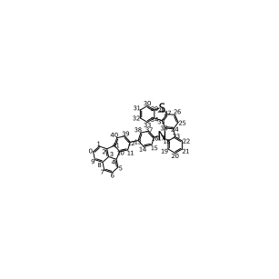 c1cc2c3c(cccc3c1)-c1cc(-c3ccc(-n4c5ccccc5c5ccc6sc7ccccc7c6c54)cc3)ccc1-2